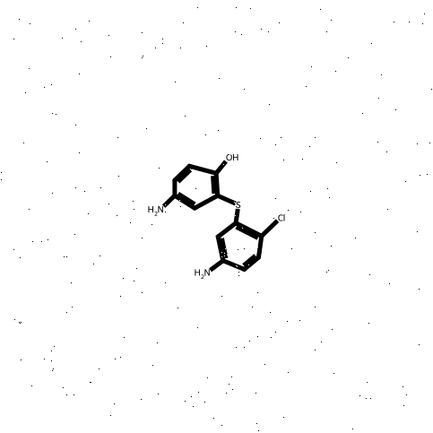 Nc1ccc(O)c(Sc2cc(N)ccc2Cl)c1